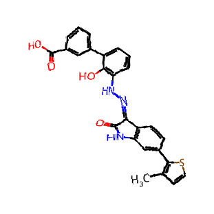 Cc1ccsc1-c1ccc2c(c1)NC(=O)C2=NNc1cccc(-c2cccc(C(=O)O)c2)c1O